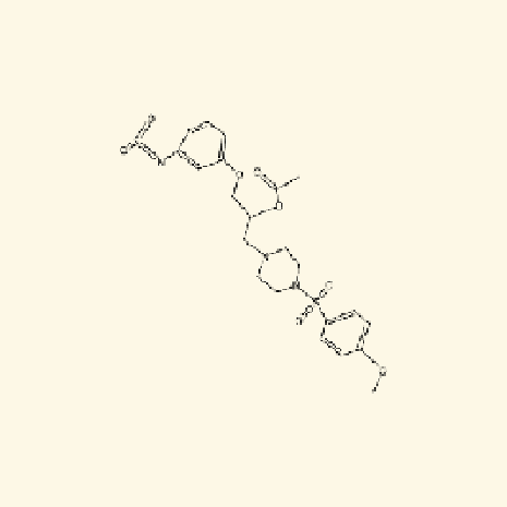 COc1ccc(S(=O)(=O)N2CCN(CC(COc3cccc(N=S(=O)=O)c3)OC(C)=O)CC2)cc1